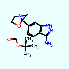 CC(C)(C)OC=O.Nc1n[nH]c2cc(C34CN3CCO4)ccc12